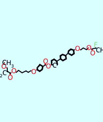 C=C(F)C(=O)OCCCOc1ccc(-c2ccc(-c3ccc(OC(=O)c4ccc(OCCCCCCOC(=O)C(=C)COC)cc4)cc3)cc2)cc1